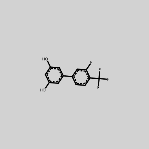 Oc1cc(O)cc(-c2ccc(C(F)(F)F)c(F)c2)c1